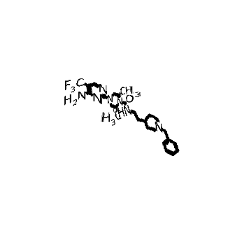 C[C@@H]1CN(c2ncc(C(F)(F)F)c(N)n2)C[C@@H](C)N1C(=O)NCCC1CCN(Cc2ccccc2)CC1